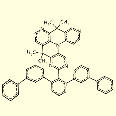 CC1(C)c2ccnc3c2N(c2ccncc2C3(C)C)c2cnc(-c3c(-c4cccc(-c5ccccc5)c4)cccc3-c3cccc(-c4ccccc4)c3)nc21